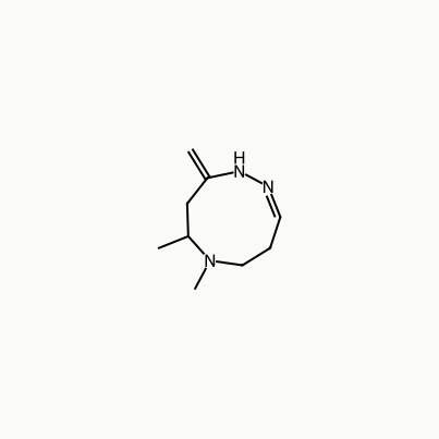 C=C1CC(C)N(C)CC/C=N\N1